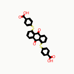 O=C(O)c1ccc(Sc2cccc3c2C(=O)c2cccc(Sc4ccc(C(=O)O)cc4)c2C3=O)cc1